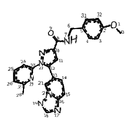 COc1ccc(CNC(=O)c2cc(-c3ccc4ncnn4c3)n(-c3cccc(C)n3)n2)cc1